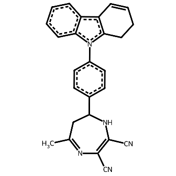 CC1=NC(C#N)=C(C#N)NC(c2ccc(-n3c4c(c5ccccc53)C=CCC4)cc2)C1